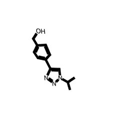 CC(C)n1cc(-c2ccc(CO)cc2)nn1